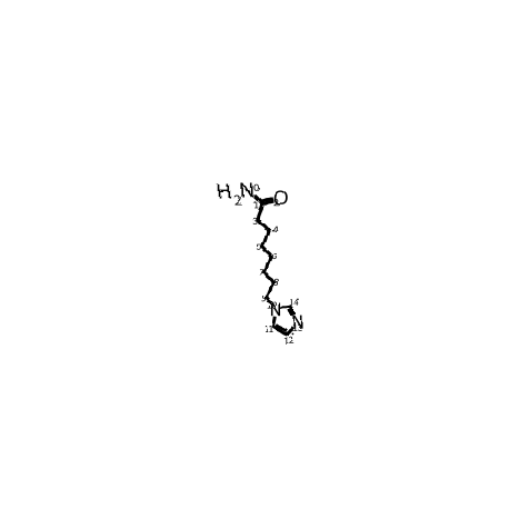 NC(=O)CCCCCCCn1c[c]nc1